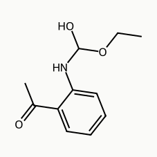 CCOC(O)Nc1ccccc1C(C)=O